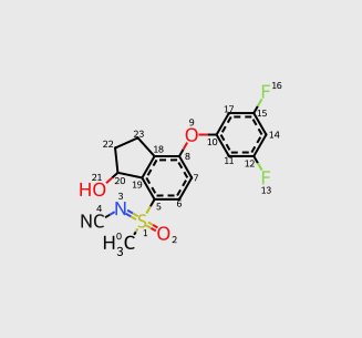 CS(=O)(=NC#N)c1ccc(Oc2cc(F)cc(F)c2)c2c1C(O)CC2